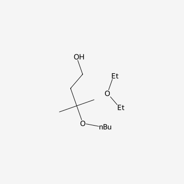 CCCCOC(C)(C)CCO.CCOCC